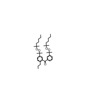 CCCCCC(C)(C)OOC(C)(C)c1cccc(C(=O)c2cc(C(C)(C)OOC(C)(C)CCCCC)ccc2CCC)c1